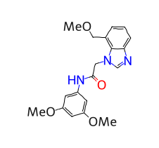 COCc1cccc2ncn(CC(=O)Nc3cc(OC)cc(OC)c3)c12